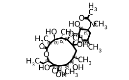 CC[C@H]1OC(=O)[C@H](C)[C@@H](O)[C@H](C)[C@@H](O[C@@H]2O[C@H](C)C[C@H](N(C)C(C)=O)[C@H]2O)C(C)(O)C[C@@H](C)[C@H](O)[C@H](C)[C@@H](O)[C@]1(C)O